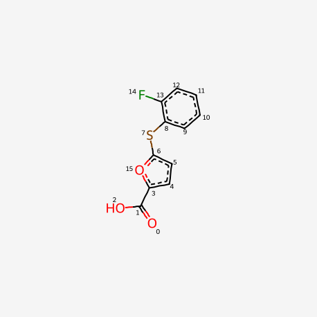 O=C(O)c1ccc(Sc2ccccc2F)o1